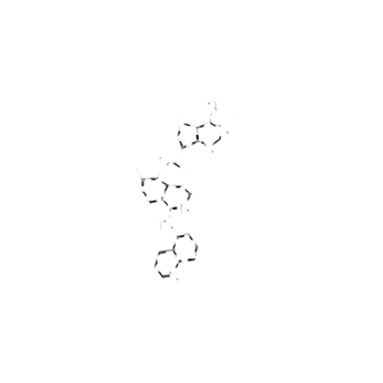 Cc1ccc2c(Nc3cccc4ncccc34)nccc2c1NC(=O)c1csc2c(N)ncnc12